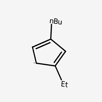 CCCCC1=C[CH]C(CC)=C1